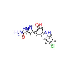 NC(=O)c1cc(-c2ccc(Nc3ccc(Cl)cc3)cc2O)n[nH]1